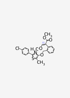 CO/C=C(/C(=O)OC)c1ccccc1COc1nc(-c2ccc(Cl)cc2)sc1C